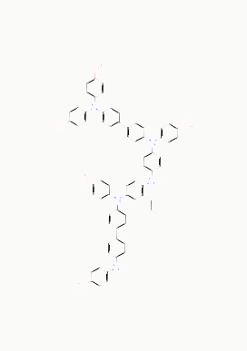 CCCc1cc(N(c2ccc(OC)cc2)c2ccc(-c3ccc(Nc4ccc(OC)cc4)cc3)cc2)ccc1Nc1ccc(N(c2ccc(OC)cc2)c2ccc(-c3ccc(N(c4ccc(OC)cc4)c4ccc(OC)cc4)cc3)cc2)cc1